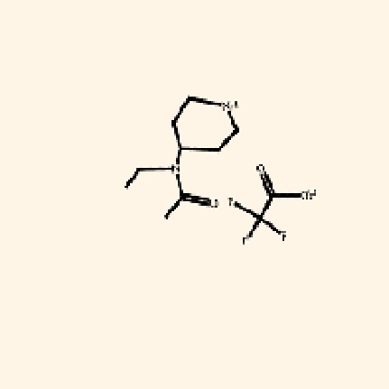 CCN(C(C)=O)C1CCNCC1.O=C(O)C(F)(F)F